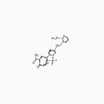 Cc1ncncc1COc1ccc(-c2cc(C(N)=O)c(=O)[nH]c2C(F)(F)F)cc1